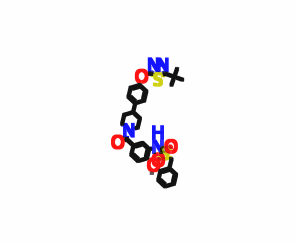 COc1ccc(C(=O)N2CCC(c3ccc(Oc4nnc(C(C)(C)C)s4)cc3)CC2)cc1NS(=O)(=O)Cc1ccccc1